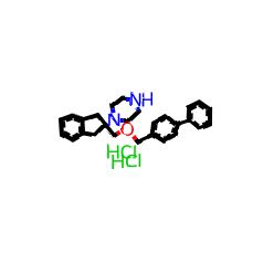 Cl.Cl.c1ccc(-c2ccc(COCC3(N4CCNCC4)Cc4ccccc4C3)cc2)cc1